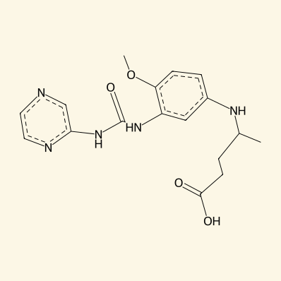 COc1ccc(NC(C)CCC(=O)O)cc1NC(=O)Nc1cnccn1